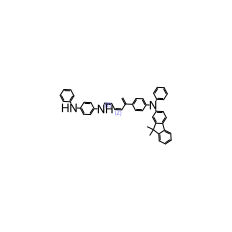 C=C(/C=C\C=C/Nc1ccc(Nc2ccccc2)cc1)c1ccc(N(c2ccccc2)c2ccc3c(c2)C(C)(C)c2ccccc2-3)cc1